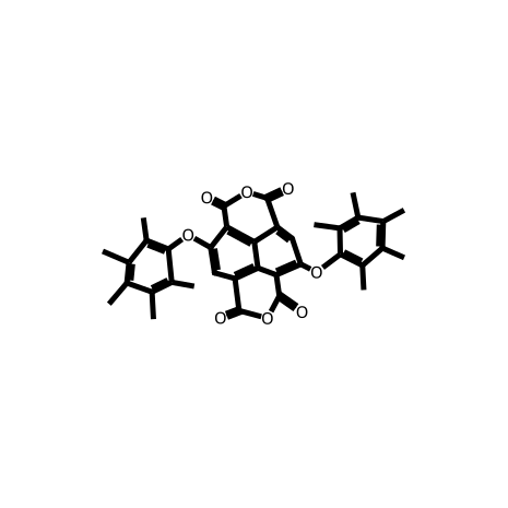 Cc1c(C)c(C)c(Oc2cc3c4c(c(Oc5c(C)c(C)c(C)c(C)c5C)cc5c4c2C(=O)OC5=O)C(=O)OC3=O)c(C)c1C